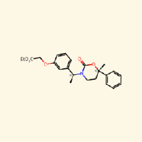 CCOC(=O)COc1cccc([C@H](C)N2CC[C@@](C)(c3ccccc3)OC2=O)c1